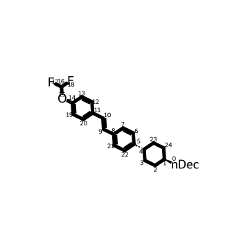 CCCCCCCCCC[C@H]1CC[C@H](c2ccc(C=Cc3ccc(OC(F)F)cc3)cc2)CC1